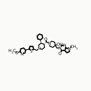 COc1ccc(-c2ccc(CN3CC[C@@H](C(=O)N4CCC(O)(Cn5cnc6c(ccn6C)c5=O)CC4)[C@H](c4ccccc4)C3)s2)cn1